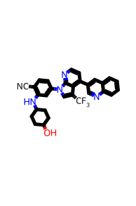 N#Cc1ccc(-n2cc(C(F)(F)F)c3c(-c4cnc5ccccc5c4)ccnc32)cc1NC1CCC(O)CC1